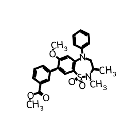 COC(=O)c1cccc(-c2cc3c(cc2OC)N(c2ccccc2)CC(C)N(C)S3(=O)=O)c1